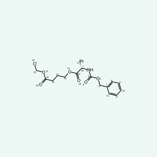 CC(C)[C@H](NC(=O)OCc1ccccc1)C(=O)OCCCC(=O)OCCl